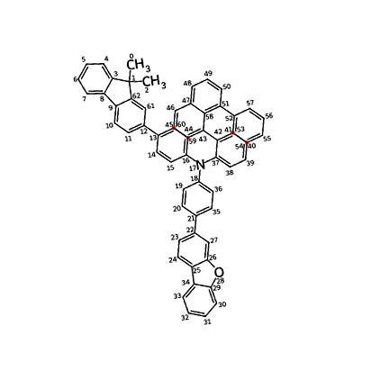 CC1(C)c2ccccc2-c2ccc(-c3ccc(N(c4ccc(-c5ccc6c(c5)oc5ccccc56)cc4)c4ccccc4-c4cccc5cccc(-c6ccccc6)c45)cc3)cc21